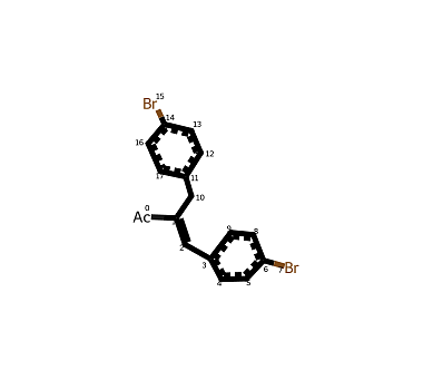 CC(=O)C(=Cc1ccc(Br)cc1)Cc1ccc(Br)cc1